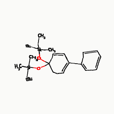 CC(C)(C)[Si](C)(C)OC1(O[Si](C)(C)C(C)(C)C)C=CC(c2ccccc2)=CC1